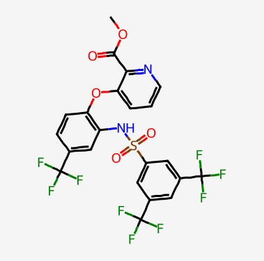 COC(=O)c1ncccc1Oc1ccc(C(F)(F)F)cc1NS(=O)(=O)c1cc(C(F)(F)F)cc(C(F)(F)F)c1